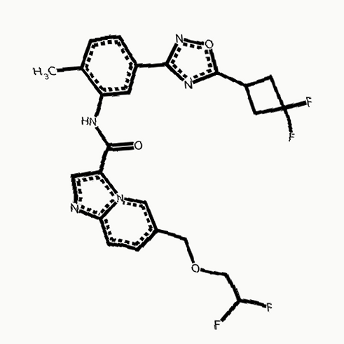 Cc1ccc(-c2noc(C3CC(F)(F)C3)n2)cc1NC(=O)c1cnc2ccc(COCC(F)F)cn12